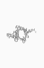 CN1CC(=O)N2C[C@H](N)C[C@H]2COc2ccc(F)cc2C(=O)N(C)[C@H](C(=O)NCc2ccncc2)CCC1=O